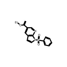 C=C(OCC)c1cnc2c(ccn2S(=O)(=O)c2ccccc2)c1